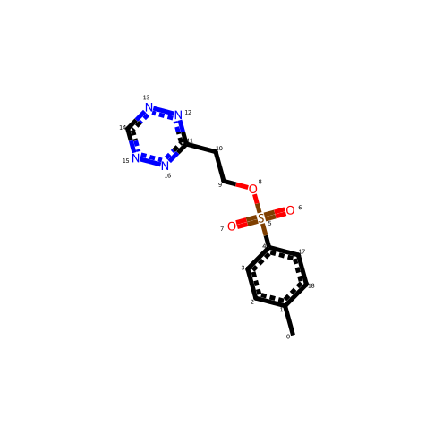 Cc1ccc(S(=O)(=O)OCCc2nncnn2)cc1